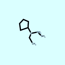 CCN([SiH2][SiH3])C1CCCC1